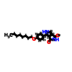 CCCCCCCCOc1ccc(-c2[nH]cc3c2C(=O)NC3=O)cc1